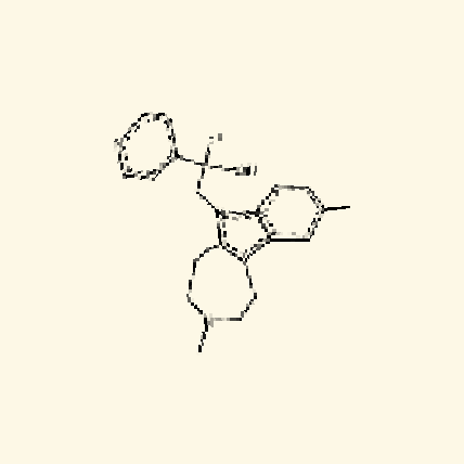 CCC(O)(Cn1c2c(c3cc(C)ccc31)CCN(C)CC2)c1ccncc1